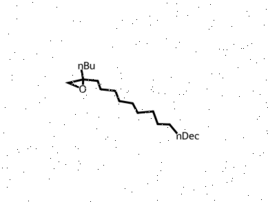 CCCCCCCCCCCCCCCCCCCC1(CCCC)CO1